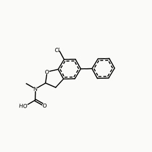 CN(C(=O)O)C1Cc2cc(-c3ccccc3)cc(Cl)c2O1